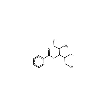 CC(CO)C(OC(=O)c1ccccc1)C(C)CO